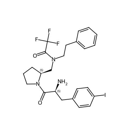 N[C@@H](Cc1ccc(I)cc1)C(=O)N1CCC[C@H]1CN(CCc1ccccc1)C(=O)C(F)(F)F